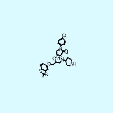 Cc1nc2cc(OC[C@H](O)CN(C3CCNCC3)[C@@H]3CCN(c4ccc(Cl)cc4)C3=O)ccc2s1